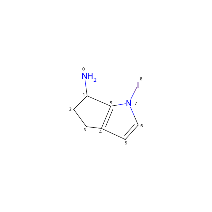 NC1CCc2ccn(I)c21